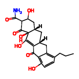 CCCc1ccc(O)c2c1C[C@H]1C[C@H]3CC(O)C(C(N)=O)C(=O)[C@@]3(O)C(O)=C1C2=O